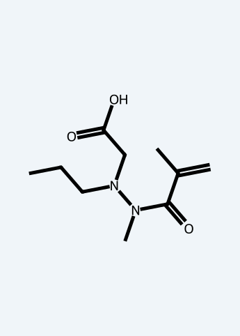 C=C(C)C(=O)N(C)N(CCC)CC(=O)O